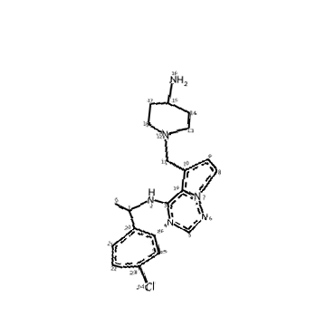 CC(Nc1ncnn2ccc(CN3CCC(N)CC3)c12)c1ccc(Cl)cc1